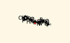 CC(C)(C)OC(=O)N1CC(F)(c2nnc(C34CC(NC(=O)COc5ccc(Cl)c(F)c5)(C3)C4)o2)C1